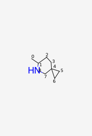 CC1CCC2(CC2)CN1